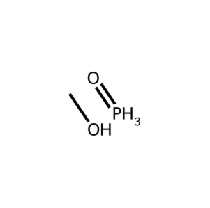 CO.O=[PH3]